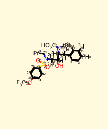 [2H]c1ccc(C([2H])([2H])[C@]([2H])(N(C(=O)O)C(C)(C)C)[C@]([2H])(O)C([2H])([2H])N(CC(C)C)S(=O)(=O)c2ccc(OC(F)(F)F)cc2)c([2H])c1[2H]